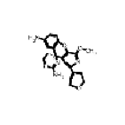 COc1nc(C2=CCOCC2)cc2c1Oc1ccc(N)cc1[C@@]21CCOC(N)=N1